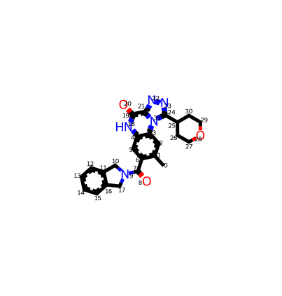 Cc1cc2c(cc1C(=O)N1Cc3ccccc3C1)[nH]c(=O)c1nnc(C3CCOCC3)n12